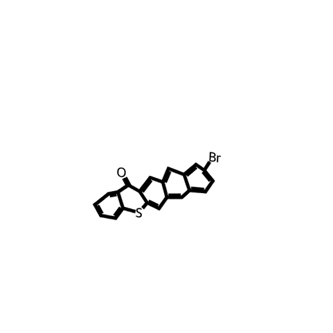 O=c1c2ccccc2sc2cc3cc4ccc(Br)cc4cc3cc12